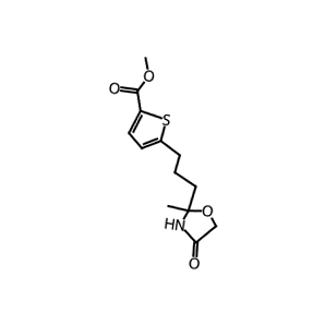 COC(=O)c1ccc(CCCC2(C)NC(=O)CO2)s1